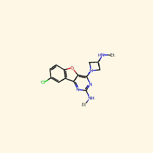 CCNc1nc(N2CC(NCC)C2)c2oc3ccc(Cl)cc3c2n1